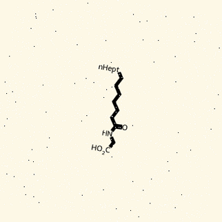 CCCCCCCCCCCCCC(=O)NCC(=O)O